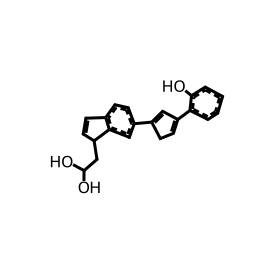 Oc1ccccc1C1=CCC(c2ccc3c(c2)C(CC(O)O)C=C3)=C1